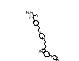 NC(=O)Nc1ccc(CCN2CCN(CCCc3c[nH]c4ccc(-n5cnnc5)cc34)CC2)cc1